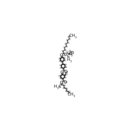 CCCCCCCCCCC(OCC1(C)COC1)Oc1ccc(-c2ccc(C(=O)Oc3ccc(C(=O)O[C@H](C)CCCCCC)cc3F)cc2)cc1